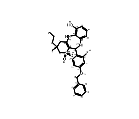 CCCC1(C)CC2=C(C(c3ccc(OCc4ccccc4)cc3F)Nc3cccc(O)c3N2)S(=O)(=O)C1